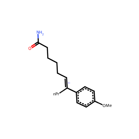 CCC/C(=C\CCCCC(N)=O)c1ccc(OC)cc1